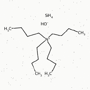 CCCC[N+](CCCC)(CCCC)CCCC.[OH-].[SiH4]